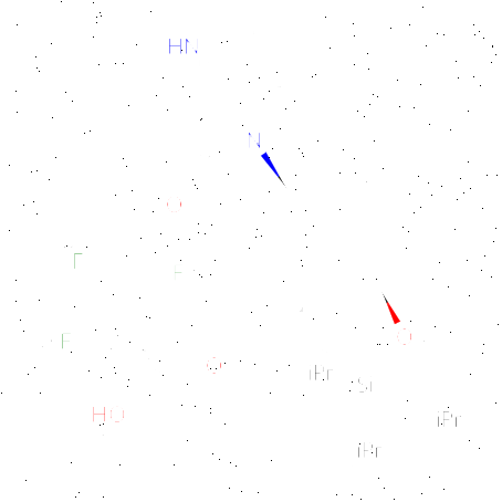 CC(C)[Si](O[C@H]1CC[C@@H](N2CCNCC2=O)CC1)(C(C)C)C(C)C.O=C(O)C(F)(F)F